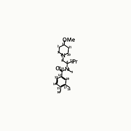 COC1CCN(CC(C(C)C)N(C)C(=O)c2ccc(C)c(C)c2)CC1